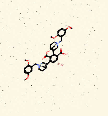 COc1ccc(OC)c(C[N+]23CCC(CC2)C(c2ccc(C(=O)O)c(C4C[N+]5(Cc6cc(OC)ccc6OC)CCC4CC5)c2C(=O)O)C3)c1.[Br-].[Br-]